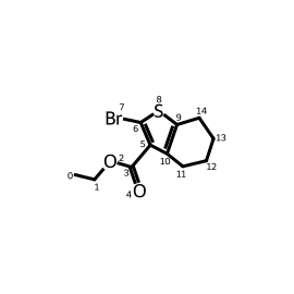 CCOC(=O)c1c(Br)sc2c1CCCC2